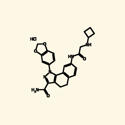 Cl.NC(=O)c1nn(-c2ccc3c(c2)OCO3)c2c1CCc1ccc(NC(=O)CNC3CCC3)cc1-2